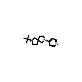 CC(C)(C)N1CCC2(CCN(c3ccncc3)C2)C1